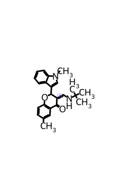 Cc1ccc2c(c1)C(=O)/C(=C\NC(C)(C)C)C(c1cn(C)c3ccccc13)O2